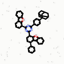 c1ccc(-c2ccc(-c3nc(-c4ccc(C56CC7CC(CC(C7)C5)C6)cc4)nc(-c4cccc5c4oc4ccccc45)n3)c3oc4ccccc4c23)cc1